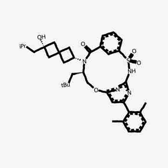 Cc1cccc(C)c1-c1cc2nc(n1)NS(=O)(=O)c1cccc(c1)C(=O)N([C@H]1CC3(C1)C[C@](O)(CC(C)C)C3)[C@H](CC(C)(C)C)CO2